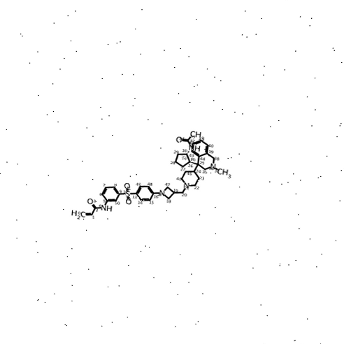 C=CC(=O)Nc1cccc(S(=O)(=O)c2ccc(N3CC(CN4CCC(C5([C@H]6CCC[C@@H]6NC(C)=O)CN(C)Cc6ccccc65)CC4)C3)cc2)c1